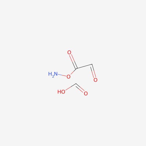 NOC(=O)C=O.O=CO